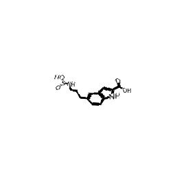 O=C(O)c1cc2cc(CCCNS(=O)O)ccc2[nH]1